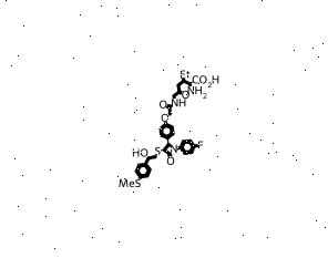 CCC(CC(=O)CNC(=O)COc1ccc([C@@H]2[C@@H](SCC(O)c3ccc(SC)cc3)C(=O)N2c2ccc(F)cc2)cc1)[C@@H](N)C(=O)O